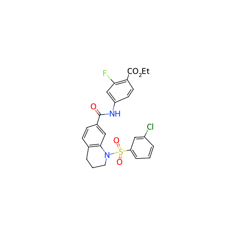 CCOC(=O)c1ccc(NC(=O)c2ccc3c(c2)N(S(=O)(=O)c2cccc(Cl)c2)CCC3)cc1F